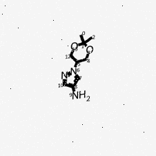 CC1(C)OCC(n2cc(N)cn2)CO1